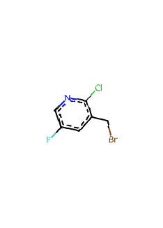 Fc1cnc(Cl)c(CBr)c1